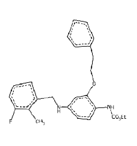 CCOC(=O)Nc1ccc(NCc2cccc(F)c2C)cc1OCCc1ccccc1